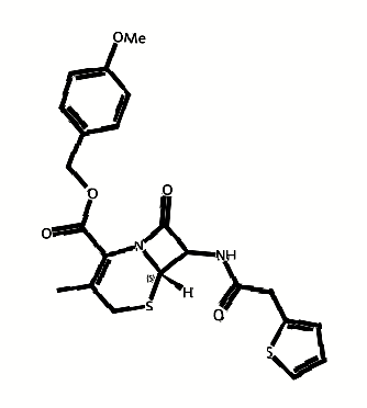 COc1ccc(COC(=O)C2=C(C)CS[C@H]3C(NC(=O)Cc4cccs4)C(=O)N23)cc1